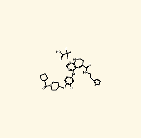 O=C(NCCc1cccs1)C1=Cc2c(ncnc2Nc2ccc(OC3CCN(C(=O)C4CCCC4)CC3)c(Cl)c2)NCC1.O=C(O)C(F)(F)F